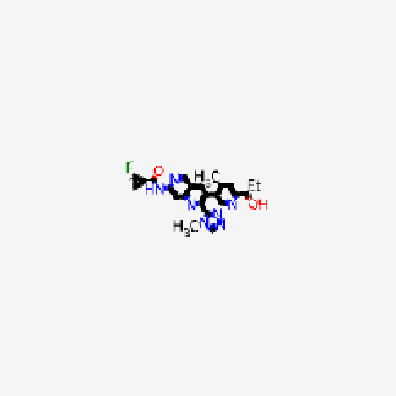 CC[C@H](O)c1cc(C)c(-c2cc3cnc(NC(=O)[C@H]4C[C@H]4F)cc3nc2-c2nncn2C)cn1